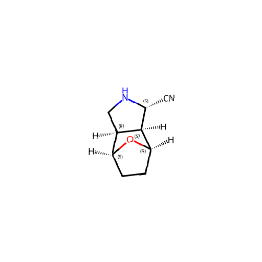 N#C[C@H]1NC[C@H]2[C@@H]1[C@H]1CC[C@@H]2O1